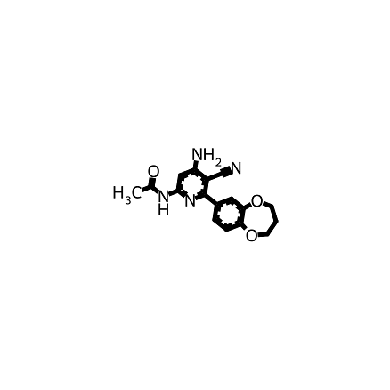 CC(=O)Nc1cc(N)c(C#N)c(-c2ccc3c(c2)OCCCO3)n1